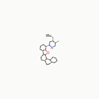 Cc1cnc(-c2cccc3c2oc2c3ccc3ccc4ccccc4c32)cc1CC(C)(C)C